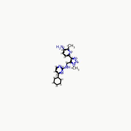 Cc1nc(-c2nnn(C)c2CNc2nccc(C3CCCCC3)n2)ccc1N